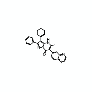 Cc1[nH]c2c(C3=CCCCC3)c(-c3ccccc3)nn2c(=O)c1-c1ccc2nccnc2c1